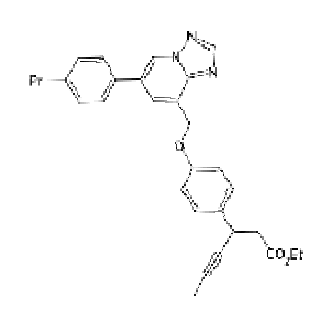 CC#CC(CC(=O)OCC)c1ccc(OCc2cc(-c3ccc(C(C)C)cc3)cn3ncnc23)cc1